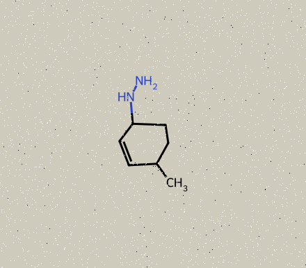 CC1C=CC(NN)CC1